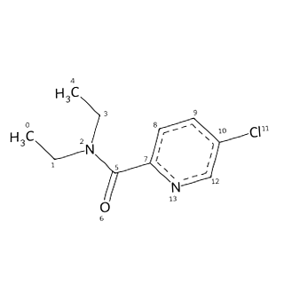 CCN(CC)C(=O)c1ccc(Cl)cn1